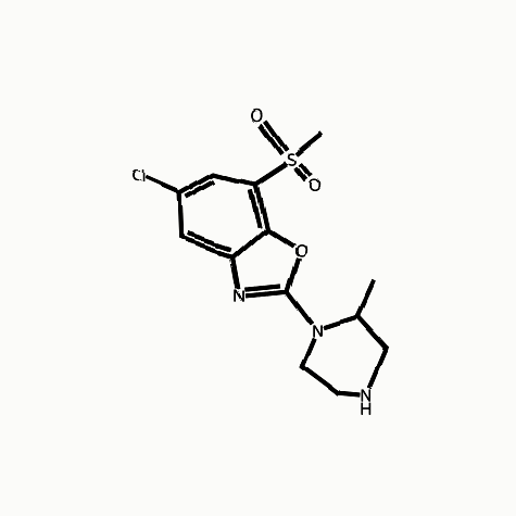 CC1CNCCN1c1nc2cc(Cl)cc(S(C)(=O)=O)c2o1